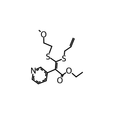 C=CCS/C(SCCOC)=C(\C(=O)OCC)c1cccnc1